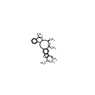 C=Cc1c(N(C)C)oc2cc3c(cc12)/C(C)=N\C(=C)CC1N=C(C)c2ccccc2C1CC3